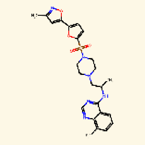 Cc1cc(-c2ccc(S(=O)(=O)N3CCN(CC(C)Nc4ncnc5c(C(F)(F)F)cccc45)CC3)o2)on1